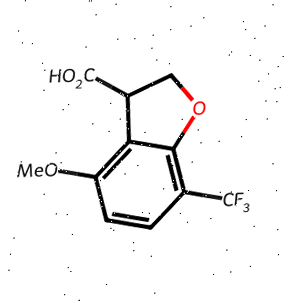 COc1ccc(C(F)(F)F)c2c1C(C(=O)O)CO2